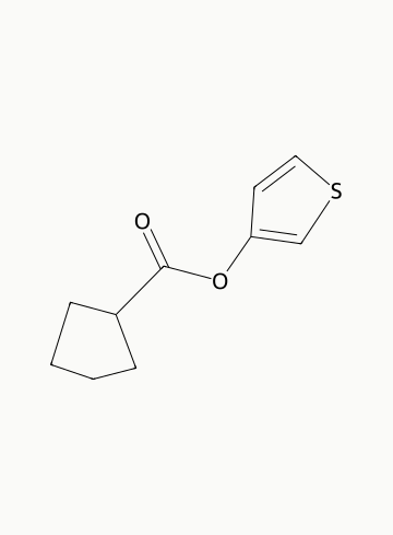 O=C(Oc1ccsc1)C1CCCC1